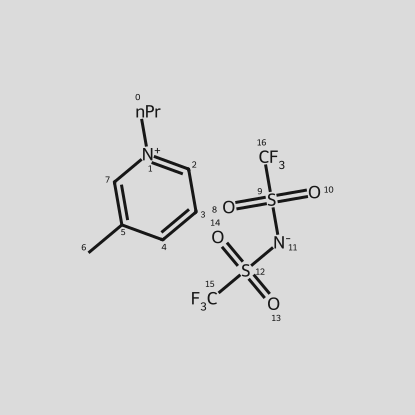 CCC[n+]1cccc(C)c1.O=S(=O)([N-]S(=O)(=O)C(F)(F)F)C(F)(F)F